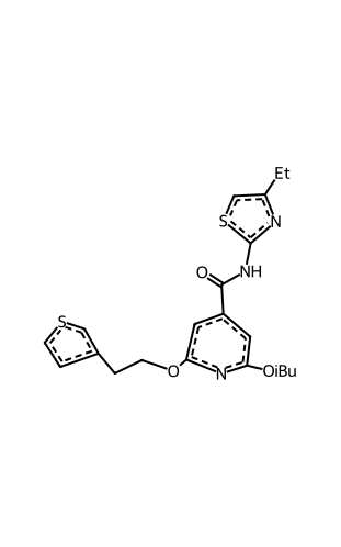 CCc1csc(NC(=O)c2cc(OCCc3ccsc3)nc(OCC(C)C)c2)n1